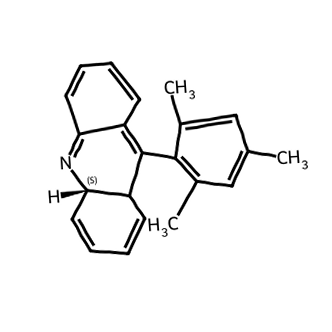 Cc1cc(C)c(C2=c3ccccc3=N[C@H]3C=CC=CC23)c(C)c1